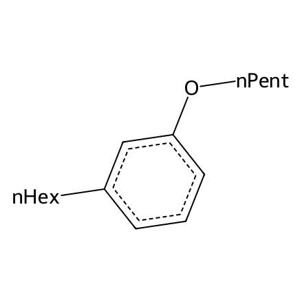 [CH2]CCCCOc1cccc(CCCCCC)c1